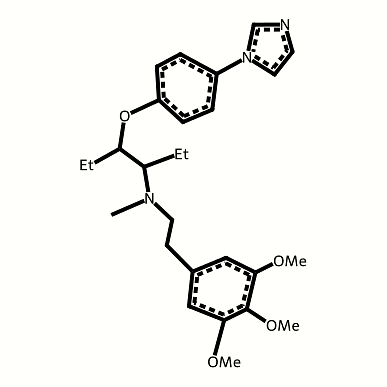 CCC(Oc1ccc(-n2ccnc2)cc1)C(CC)N(C)CCc1cc(OC)c(OC)c(OC)c1